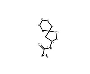 NC(=O)NC1COC2(CCCCC2)C1